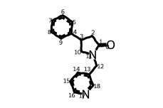 O=C1CC(c2ccccc2)CN1Cc1cccnc1